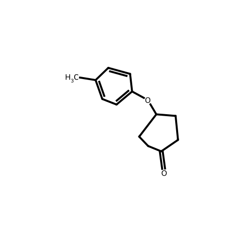 Cc1ccc(OC2CCC(=O)CC2)cc1